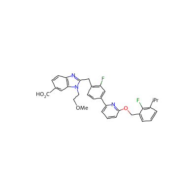 COCCn1c(Cc2ccc(-c3cccc(OCc4cccc(C(C)C)c4F)n3)cc2F)nc2ccc(C(=O)O)cc21